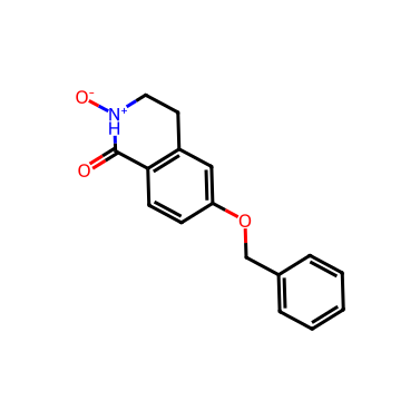 O=C1c2ccc(OCc3ccccc3)cc2CC[NH+]1[O-]